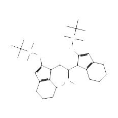 CC(C)(C)[Si](C)(C)OC1=CC2=C(CCCC2)C1C[CH](C1C(O[Si](C)(C)C(C)(C)C)=CC2=C1CCCC2)[Zr]([Cl])[Cl]